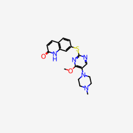 COc1nc(Sc2ccc3ccc(=O)[nH]c3c2)ncc1N1CCN(C)CC1